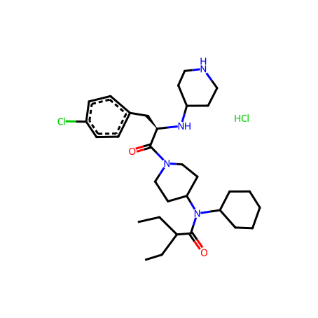 CCC(CC)C(=O)N(C1CCCCC1)C1CCN(C(=O)[C@@H](Cc2ccc(Cl)cc2)NC2CCNCC2)CC1.Cl